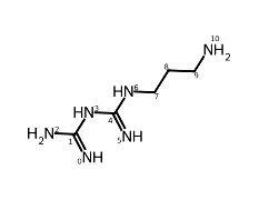 N=C(N)NC(=N)NCCCN